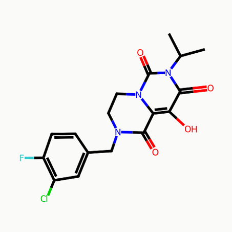 CC(C)n1c(=O)c(O)c2n(c1=O)CCN(Cc1ccc(F)c(Cl)c1)C2=O